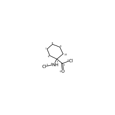 O=C(Cl)C1(NCl)CCCCC1